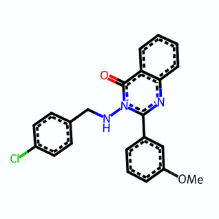 COc1cccc(-c2nc3ccccc3c(=O)n2NCc2ccc(Cl)cc2)c1